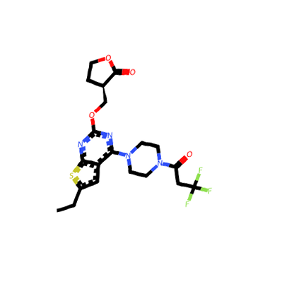 CCc1cc2c(N3CCN(C(=O)CC(F)(F)F)CC3)nc(OC[C@H]3CCOC3=O)nc2s1